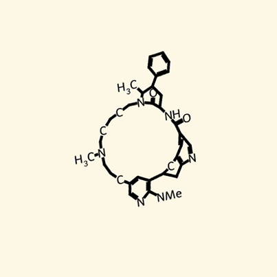 CNc1ncc2cc1C1Cc3cc(cnc3C1)C(=O)NC1CC(c3ccccc3)C(C)N(CCCCCN(C)CCC2)C1=O